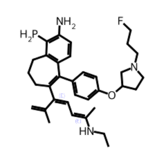 C=C(C)/C(=C\C=C(/C)NCC)C1=C(c2ccc(OC3CCN(CCCF)C3)cc2)c2ccc(N)c(P)c2CCC1